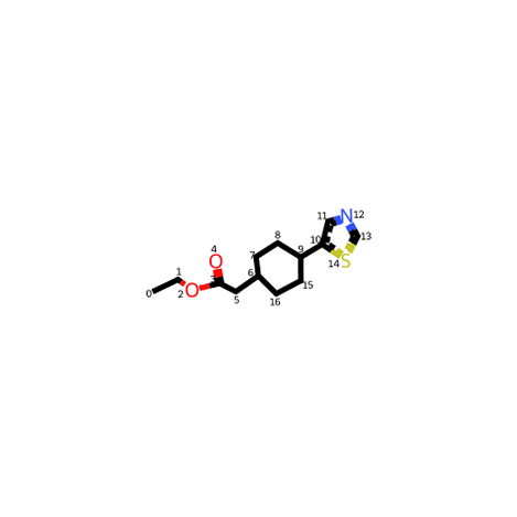 CCOC(=O)CC1CCC(c2cncs2)CC1